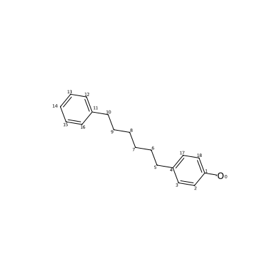 [O]c1ccc(CCCCCCc2ccccc2)cc1